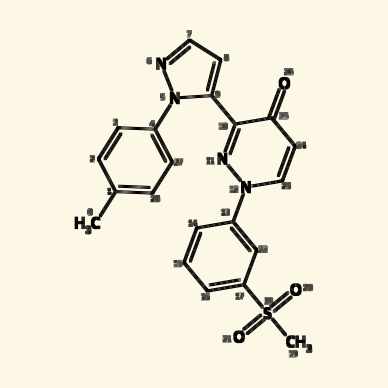 Cc1ccc(-n2nccc2-c2nn(-c3cccc(S(C)(=O)=O)c3)ccc2=O)cc1